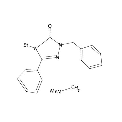 CCn1c(-c2ccccc2)nn(Cc2ccccc2)c1=O.CNC